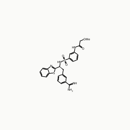 COCC(=O)Nc1cccc(S(=O)(=O)N[C@@H](Cc2cccc(C(=N)N)c2)c2nc3ccccc3s2)c1